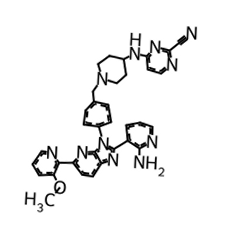 COc1cccnc1-c1ccc2nc(-c3cccnc3N)n(-c3ccc(CN4CCC(Nc5ccnc(C#N)n5)CC4)cc3)c2n1